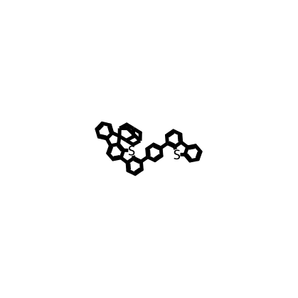 c1ccc2c(c1)-c1ccc3c(sc4c(-c5ccc(-c6cccc7c6sc6ccccc67)cc5)cccc43)c1C21C2CC3CC(C2)CC1C3